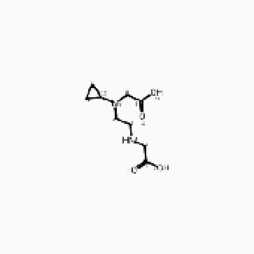 O=C(O)CNCCN(CC(=O)O)C1CC1